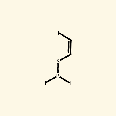 I/C=C\SP(I)I